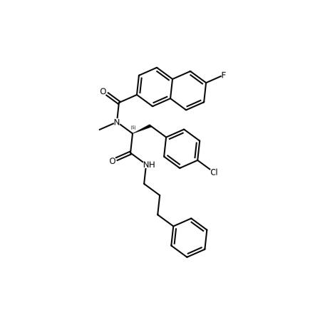 CN(C(=O)c1ccc2cc(F)ccc2c1)[C@@H](Cc1ccc(Cl)cc1)C(=O)NCCCc1ccccc1